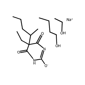 CCCC(C)C1(CC)C(=O)N=C([O-])NC1=O.CCCCO.CCO.[Na+]